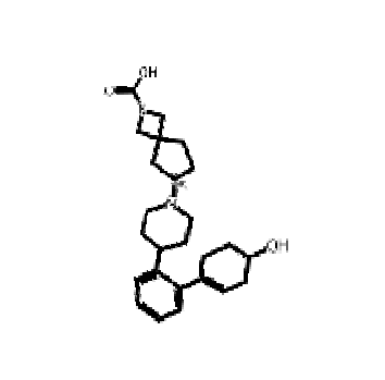 O=C(O)N1CC2(CC[C@@H](N3CCC(c4ccccc4C4=CCC(O)CC4)CC3)C2)C1